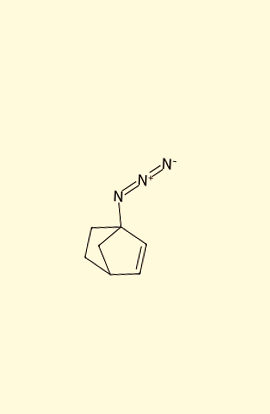 [N-]=[N+]=NC12C=CC(CC1)C2